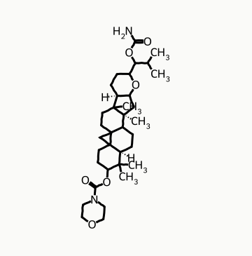 CC(C)C(OC(N)=O)C1CC[C@H]2C(C[C@@]3(C)C4CC[C@H]5C(C)(C)C(OC(=O)N6CCOCC6)CCC56CC46CCC23C)O1